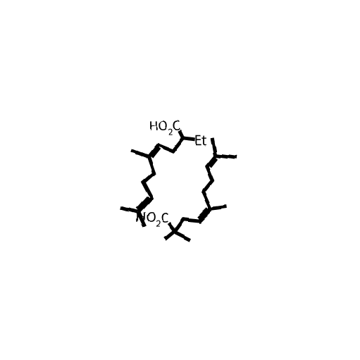 CC(C)=CCCC(C)=CCC(C)(C)C(=O)O.CCC(CC=C(C)CCC=C(C)C)C(=O)O